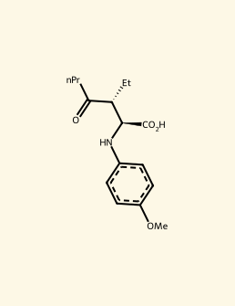 CCCC(=O)[C@H](CC)[C@H](Nc1ccc(OC)cc1)C(=O)O